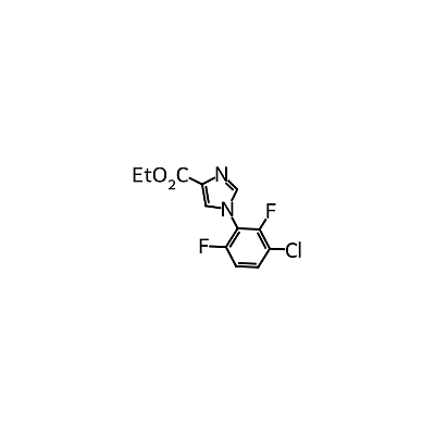 CCOC(=O)c1cn(-c2c(F)ccc(Cl)c2F)cn1